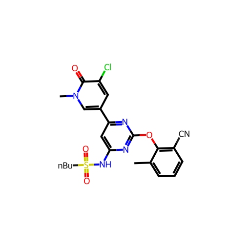 CCCCS(=O)(=O)Nc1cc(-c2cc(Cl)c(=O)n(C)c2)nc(Oc2c(C)cccc2C#N)n1